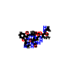 CCCC(NC(=O)C1CC2(CN1C(=O)[C@@H](NC(=O)[C@@H](NC(=O)c1cnccn1)C1CCCCC1)C(C)(C)C)NC(=O)NC2=O)C(O)C(=O)NC1CC1